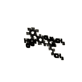 CCCCC1=C(Cc2ccc(-c3ccccc3-c3noc(=O)[nH]3)cc2)C(=O)[N]C(C)=N1